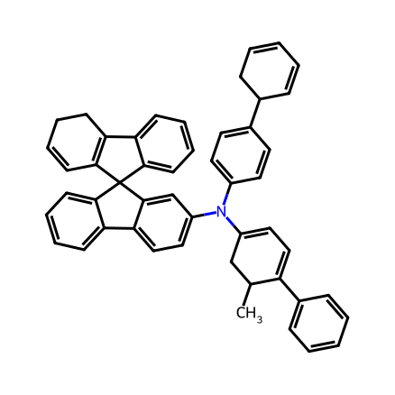 CC1CC(N(c2ccc(C3C=CC=CC3)cc2)c2ccc3c(c2)C2(C4=C(CCC=C4)c4ccccc42)c2ccccc2-3)=CC=C1c1ccccc1